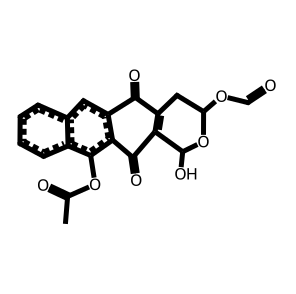 CC(=O)Oc1c2c(cc3ccccc13)C(=O)C1=C(C2=O)C(O)OC(OC=O)C1